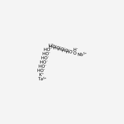 [K+].[Li+].[Nb+5].[OH-].[OH-].[OH-].[OH-].[OH-].[OH-].[OH-].[OH-].[OH-].[OH-].[OH-].[OH-].[Ta+5]